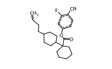 C=CCCC1CCC(C2(C(=O)Oc3ccc(C#N)c(F)c3)CCCCC2)CC1